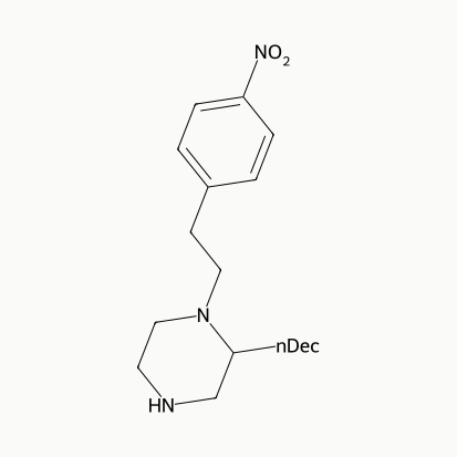 CCCCCCCCCCC1CNCCN1CCc1ccc([N+](=O)[O-])cc1